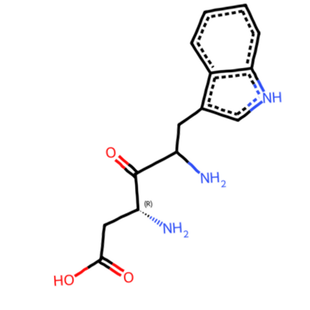 NC(Cc1c[nH]c2ccccc12)C(=O)[C@H](N)CC(=O)O